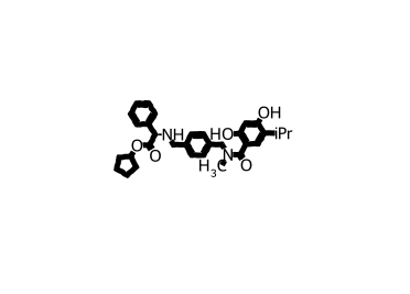 CC(C)c1cc(C(=O)N(C)Cc2ccc(CN[C@H](C(=O)OC3CCCC3)c3ccccc3)cc2)c(O)cc1O